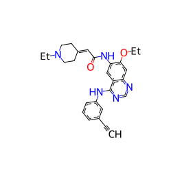 C#Cc1cccc(Nc2ncnc3cc(OCC)c(NC(=O)C=C4CCN(CC)CC4)cc23)c1